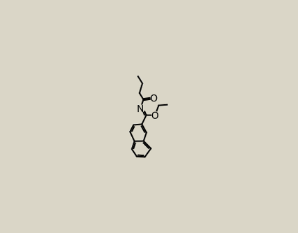 CCCC(=O)/N=C(\OCC)c1ccc2ccccc2c1